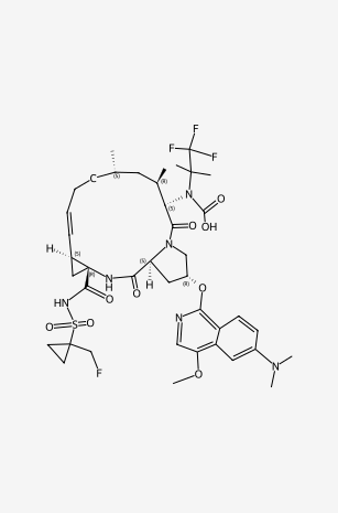 COc1cnc(O[C@@H]2C[C@H]3C(=O)N[C@]4(C(=O)NS(=O)(=O)C5(CF)CC5)C[C@H]4C=CCC[C@H](C)C[C@@H](C)[C@H](N(C(=O)O)C(C)(C)C(F)(F)F)C(=O)N3C2)c2ccc(N(C)C)cc12